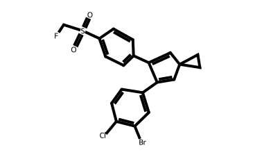 O=S(=O)(CF)c1ccc(C2=CC3(C=C2c2ccc(Cl)c(Br)c2)CC3)cc1